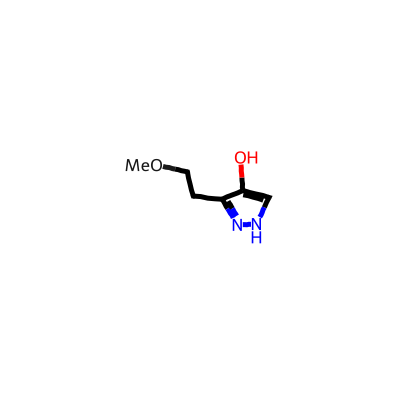 COCCc1n[nH]cc1O